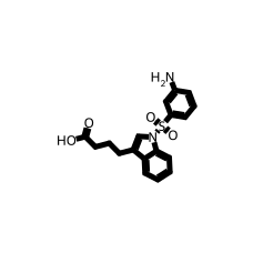 Nc1cccc(S(=O)(=O)n2cc(CCCC(=O)O)c3ccccc32)c1